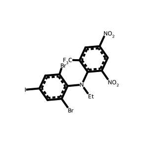 CCN(c1c(Br)cc(I)cc1Br)c1c([N+](=O)[O-])cc([N+](=O)[O-])cc1C(F)(F)F